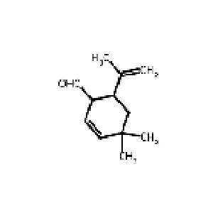 C=C(C)C1CC(C)(C)C=CC1C=O